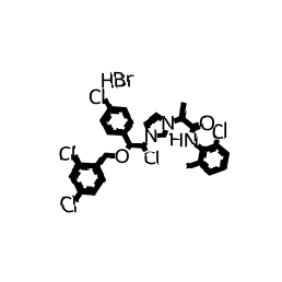 Br.Cc1cccc(Cl)c1NC(=O)C(C)N1C=CN(C(Cl)C(OCc2ccc(Cl)cc2Cl)c2ccc(Cl)cc2)C1